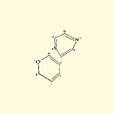 C1=CCOC=C1.c1cnccn1